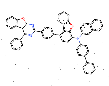 c1ccc(C2=NC(c3ccc(-c4ccc(N(c5ccc(-c6ccccc6)cc5)c5ccc6ccccc6c5)c5oc6ccccc6c45)cc3)=NC3Oc4ccccc4C23)cc1